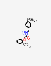 CC(C)(C)c1ccc(CNC(=O)COc2ccccc2C(F)(F)F)cc1